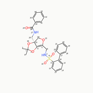 CC1(C)OC2=C(CNS(=O)(=O)c3ccccc3-c3ccccc3)OC[C@]2(CNC(=O)c2ccccc2)O1